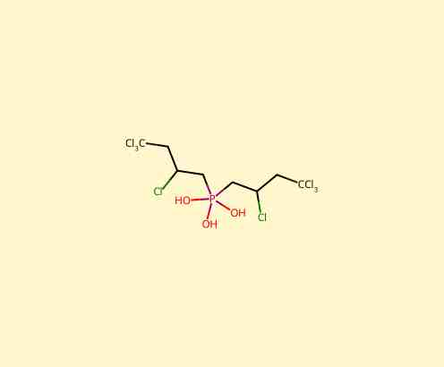 OP(O)(O)(CC(Cl)CC(Cl)(Cl)Cl)CC(Cl)CC(Cl)(Cl)Cl